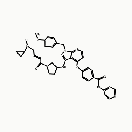 COc1ccc(Cn2nc(NC3CCN(C(=O)C=CCN(C)C4CC4)C3)c3c(Oc4ccc(C(=O)Nc5ccncn5)cc4)ccnc32)cc1